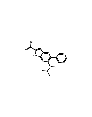 CC(C)N(C)c1nc2[nH]c(C(=O)O)cc2nc1-c1cccnc1